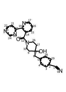 N#Cc1ccc(CC2(O)CCN(C(=O)c3cccnc3-c3ccncn3)CC2)cc1